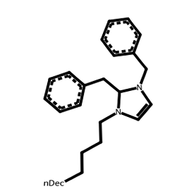 CCCCCCCCCCCCCCN1C=CN(Cc2ccccc2)C1Cc1ccccc1